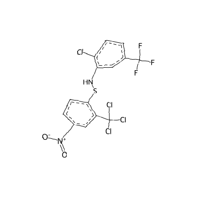 O=[N+]([O-])c1ccc(SNc2cc(C(F)(F)F)ccc2Cl)c(C(Cl)(Cl)Cl)c1